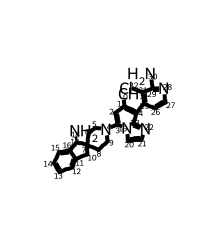 Cc1cc(N2CCC3(CC2)Cc2ccccc2[C@H]3N)n2ccnc2c1-c1ccnc(N)c1Cl